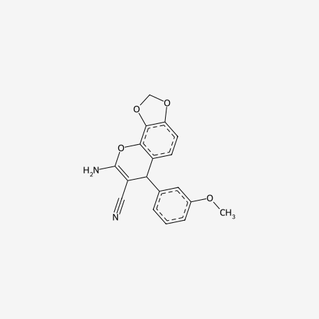 COc1cccc(C2C(C#N)=C(N)Oc3c2ccc2c3OCO2)c1